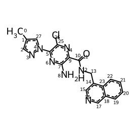 Cc1cnn(-c2nc(N)c(C(=O)NCc3cncc4ccccc34)nc2Cl)c1